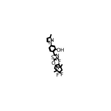 Cc1ccn(-c2ccc(-c3nnc(OC4CC5(C)N(C)C(C)(CC5(F)F)C4F)s3)c(O)c2)n1